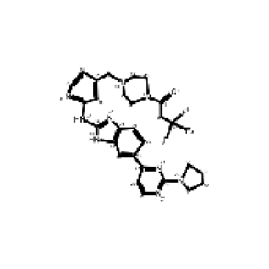 O=C(CC(F)(F)F)N1CCN(Cc2ccnc(Nc3nc4ccc(-c5ccnc(N6CCCC6)n5)cc4[nH]3)c2)CC1